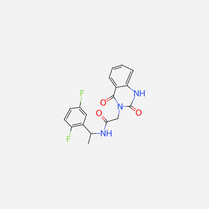 CC(NC(=O)Cn1c(=O)[nH]c2ccccc2c1=O)c1cc(F)ccc1F